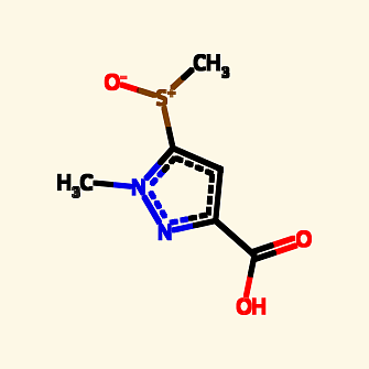 Cn1nc(C(=O)O)cc1[S+](C)[O-]